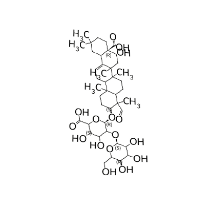 CC1(C)CC[C@]2(C(=O)O)C(O)CC3(C)C(=CCC4C5(C)CC[C@H](O[C@@H]6OC(C(=O)O)[C@@H](O)C(O)C6O[C@@H]6OC(CO)[C@H](O)C(O)C6O)C(C)(C=O)C5CCC43C)C2C1